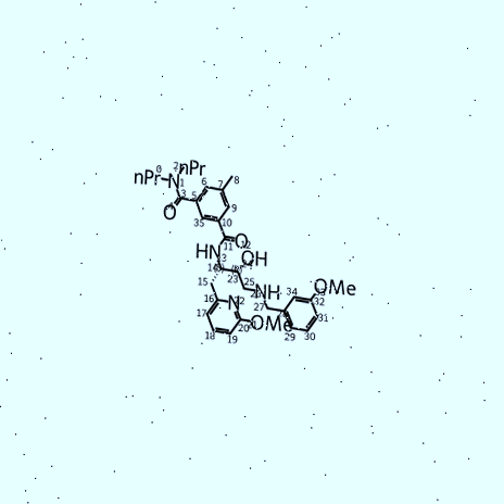 CCCN(CCC)C(=O)c1cc(C)cc(C(=O)N[C@@H](Cc2cccc(OC)n2)[C@H](O)CNCc2cccc(OC)c2)c1